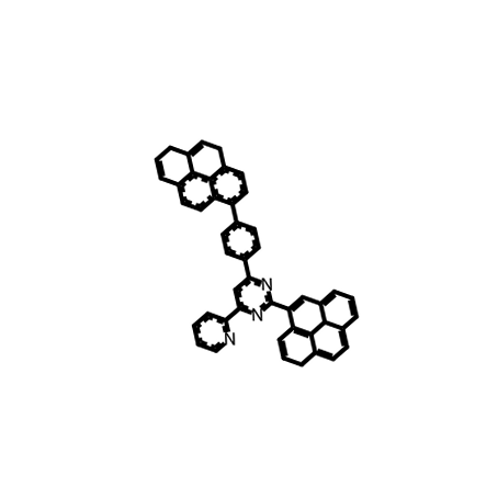 C1=CC2=CC=C3CC=CC4=C3C2C(=C1)C=C4c1nc(-c2ccc(-c3ccc4c5c6c(ccc35)C=CCC6=CC4)cc2)cc(-c2ccccn2)n1